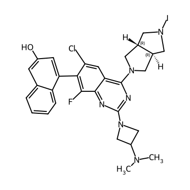 CN(C)C1CN(c2nc(N3C[C@@H]4CN(I)C[C@H]4C3)c3cc(Cl)c(-c4cc(O)cc5ccccc45)c(F)c3n2)C1